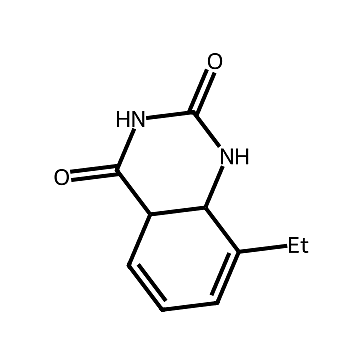 CCC1=CC=CC2C(=O)NC(=O)NC12